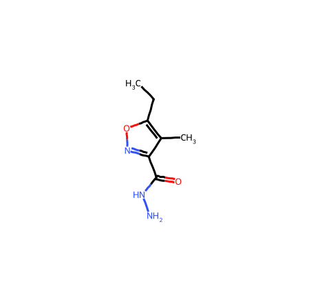 CCc1onc(C(=O)NN)c1C